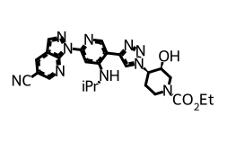 CCOC(=O)N1CC[C@@H](n2cc(-c3cnc(-n4ncc5cc(C#N)cnc54)cc3NC(C)C)nn2)[C@@H](O)C1